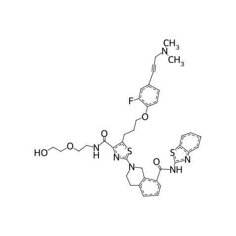 CN(C)CC#Cc1ccc(OCCCc2sc(N3CCc4cccc(C(=O)Nc5nc6ccccc6s5)c4C3)nc2C(=O)NCCOCCO)c(F)c1